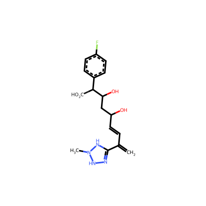 C=C(C=CC(O)CC(O)C(C(=O)O)c1ccc(F)cc1)C1=NNN(C)N1